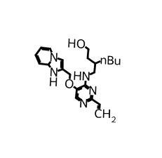 C=Cc1ncc(OCC2=CN3C=CC=CC3N2)c(NCC(CCO)CCCC)n1